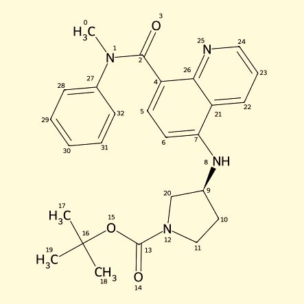 CN(C(=O)c1ccc(N[C@H]2CCN(C(=O)OC(C)(C)C)C2)c2cccnc12)c1ccccc1